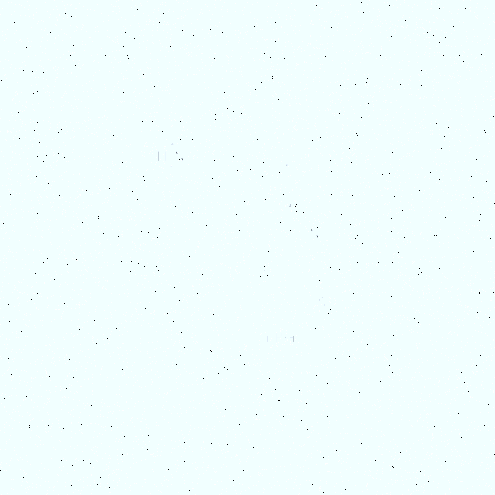 CCCCCSc1nc2ccc(N)cc2s1